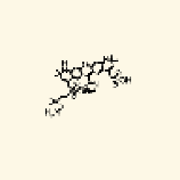 CC1(C)C=C(CS(=O)(=O)O)c2cc3c(cc2=N1)Oc1cc2c(cc1C=3c1nccn1CCCCCC(=O)ON)C(CS(=O)(=O)O)=CC(C)(C)N2